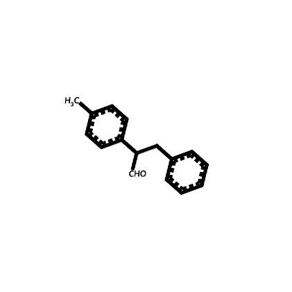 Cc1ccc(C(C=O)Cc2ccccc2)cc1